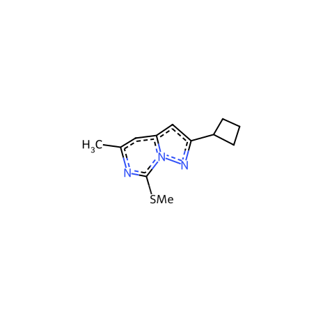 CSc1nc(C)cc2cc(C3CCC3)nn12